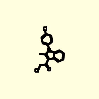 Cc1c(C(=O)CCl)c2ccccc2n1-c1ccc(Cl)cc1